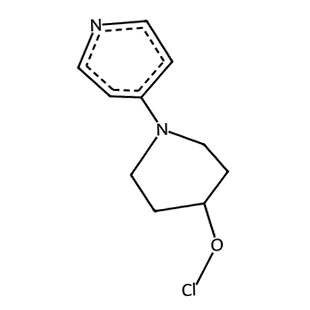 ClOC1CCN(c2ccncc2)CC1